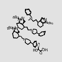 CC(C)(C)n1ncc2c1CCCC2CCN1CCC(c2ccccc2)CC1.CC(C)(C)n1ncc2c1CCCC2CCN1CCC(c2ccccc2)CC1.CN(CCC1CCCc2c1cnn2C(C)(C)C)Cc1ccccc1.O=C(O)C(=O)O